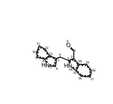 O=Cc1c(Cc2c[nH]c3ccccc23)[nH]c2ccccc12